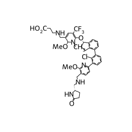 COc1nc(-c2cccc(-c3cccc4c3CC[C@@H]4OC3=C(C(F)(F)F)C=C(CNCCC(=O)O)C(OC)N3C)c2Cl)ccc1CNC[C@@H]1CCC(=O)N1